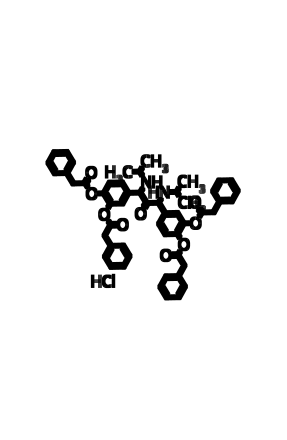 CC(C)NC(C(=O)C(NC(C)C)c1ccc(OC(=O)Cc2ccccc2)c(OC(=O)Cc2ccccc2)c1)c1ccc(OC(=O)Cc2ccccc2)c(OC(=O)Cc2ccccc2)c1.Cl